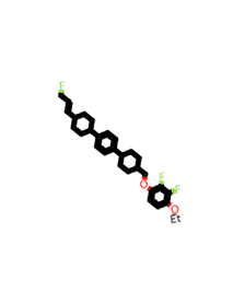 CCOc1ccc(OCC2CCC(c3ccc(C4CCC(/C=C/CF)CC4)cc3)CC2)c(F)c1F